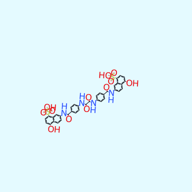 O=C(Nc1ccc(C(=O)Nc2ccc3c(O)ccc(S(=O)(=O)O)c3c2)cc1)C(=O)Nc1ccc(C(=O)Nc2ccc3c(O)ccc(S(=O)(=O)O)c3c2)cc1